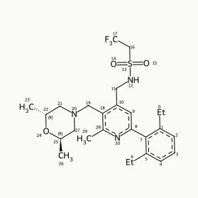 CCc1cccc(CC)c1-c1cc(CNS(=O)(=O)CC(F)(F)F)c(CN2C[C@@H](C)O[C@H](C)C2)c(C)n1